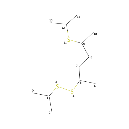 CC(C)SSC(C)CCC(C)SC(C)C